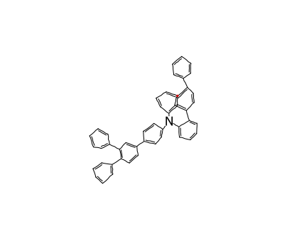 c1ccc(-c2ccc(-c3ccccc3N(c3ccccc3)c3ccc(-c4ccc(-c5ccccc5)c(-c5ccccc5)c4)cc3)cc2)cc1